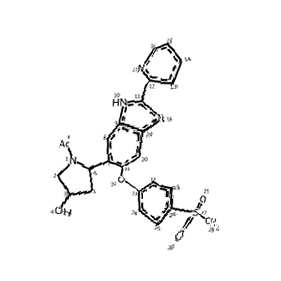 CC(=O)N1CC(O)CC1c1cc2[nH]c(-c3ccccn3)nc2cc1Oc1ccc(S(C)(=O)=O)cc1